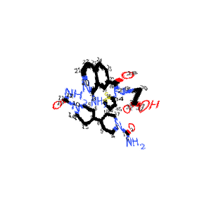 NC(=O)N1CCC(C2CCN(C(N)=O)CC2)CC1.Nc1nccc2ccc(C(=O)N(CC(=O)O)c3cccs3)cc12